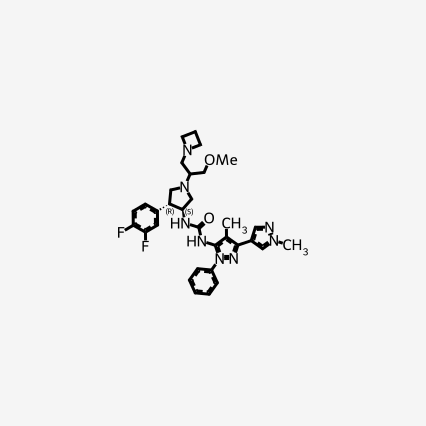 COCC(CN1CCC1)N1C[C@@H](NC(=O)Nc2c(C)c(-c3cnn(C)c3)nn2-c2ccccc2)[C@H](c2ccc(F)c(F)c2)C1